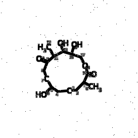 CC1CCCC(O)CCC(=O)C(C)C(O)C(O)COC1=O